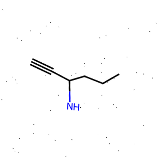 C#CC([NH])CCC